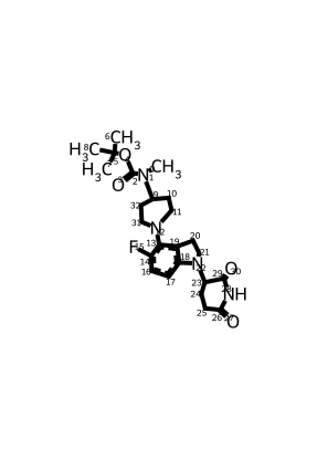 CN(C(=O)OC(C)(C)C)C1CCN(c2c(F)ccc3c2CCN3C2CCC(=O)NC2=O)CC1